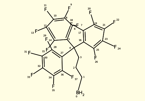 BCCCC(c1c(F)c(F)c(F)c(F)c1F)(c1c(F)c(F)c(F)c(F)c1F)c1c(F)c(F)c(F)c(F)c1F